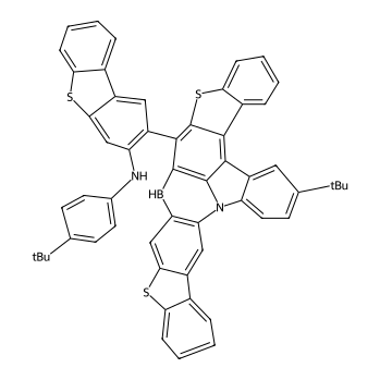 CC(C)(C)c1ccc(Nc2cc3sc4ccccc4c3cc2-c2c3c4c(c5cc(C(C)(C)C)ccc5n4-c4cc5c(cc4B3)sc3ccccc35)c3c2sc2ccccc23)cc1